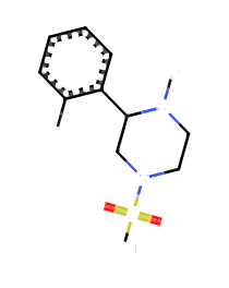 CCN1CCN(S(C)(=O)=O)CC1c1ccccc1C(C)C